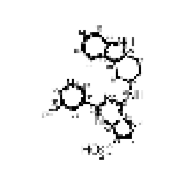 O=C(O)c1cnn2c(NC3CCc4[nH]c5ccccc5c4C3)nc(-c3cncc(F)c3)nc12